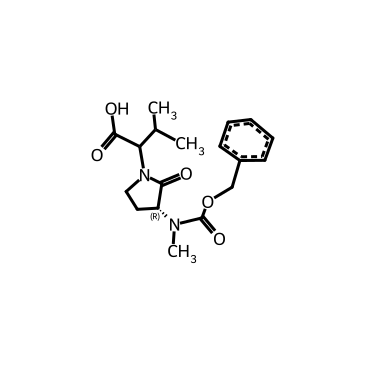 CC(C)C(C(=O)O)N1CC[C@@H](N(C)C(=O)OCc2ccccc2)C1=O